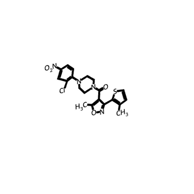 Cc1ccsc1-c1noc(C)c1C(=O)N1CCN(c2ccc([N+](=O)[O-])cc2Cl)CC1